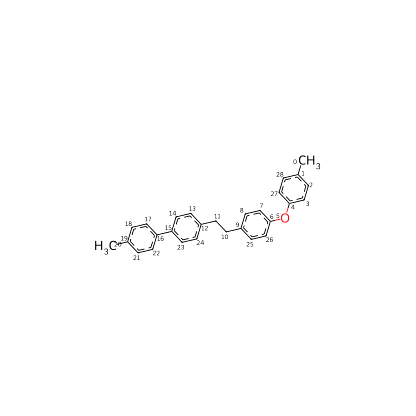 Cc1ccc(Oc2ccc(CCc3ccc(-c4ccc(C)cc4)cc3)cc2)cc1